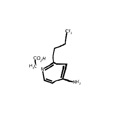 CC(=O)O.Nc1ccnc(CCC(F)(F)F)c1